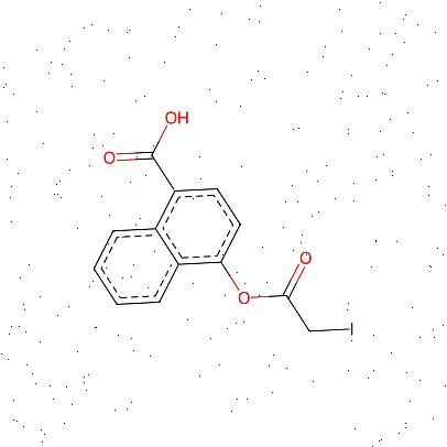 O=C(CI)Oc1ccc(C(=O)O)c2ccccc12